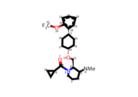 CNC1CCCN(C(=O)C2CC2)[C@H]1CO[C@H]1CC[C@@H](c2ccccc2OC(F)(F)F)CC1